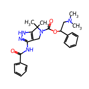 CN(C)CC(OC(=O)N1Cc2c(NC(=O)c3ccccc3)n[nH]c2C1(C)C)c1ccccc1